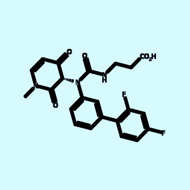 CN1C=CC(=O)[C@H](N(C(=O)NCCC(=O)O)c2cccc(-c3ccc(F)cc3F)c2)C1=O